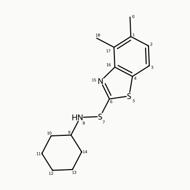 Cc1ccc2sc(SNC3CCCCC3)nc2c1C